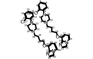 COc1ccccc1N1CCN(CCCCOc2cccn3ccnc23)CC1.Clc1ccccc1N1CCN(CCCCOc2cccn3ccnc23)CC1